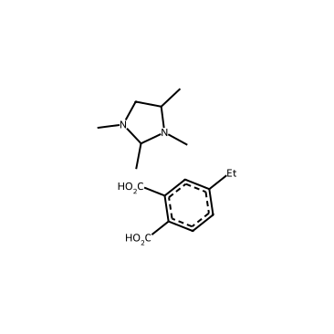 CC1CN(C)C(C)N1C.CCc1ccc(C(=O)O)c(C(=O)O)c1